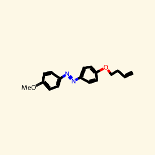 C=CCCOc1ccc(N=Nc2ccc(OC)cc2)cc1